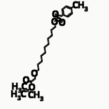 Cc1ccc(S(=O)(=O)OCCCCCCCCCCCOCC(=O)OC(C)(C)C)cc1